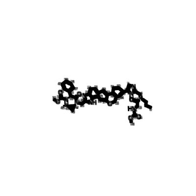 CCCN(Cc1ncc(-c2ccc3c(c2)COc2cc4c(ccc5nc(CN(C(=O)[C@H](NC(=O)OC)c6ccccc6)[C@@H]6C[C@@H]6C)[nH]c54)cc2-3)[nH]1)C(=O)CNC(=O)OC